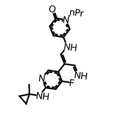 CCCn1cc(N/C=C(\C=N)c2cnc(NC3(C)CC3)cc2F)ccc1=O